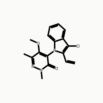 C=Cc1c(Cl)c2ccccc2n1-c1c(OC)c(C)nn(C)c1=O